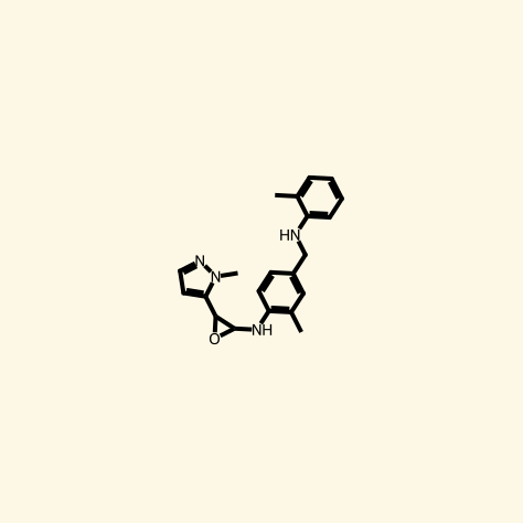 Cc1ccccc1NCc1ccc(NC2OC2c2ccnn2C)c(C)c1